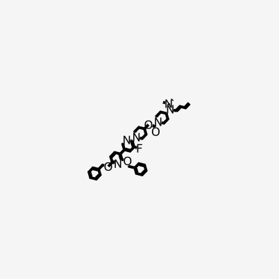 C=C/C=C/N(C1CCN(C(=O)OC2CCN(c3ncc(-c4ccc(OCc5ccccc5)nc4OCc4ccccc4)cc3F)CC2)CC1)N(C)C